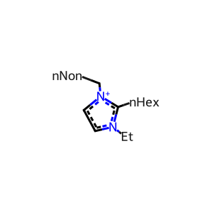 CCCCCCCCCC[n+]1ccn(CC)c1CCCCCC